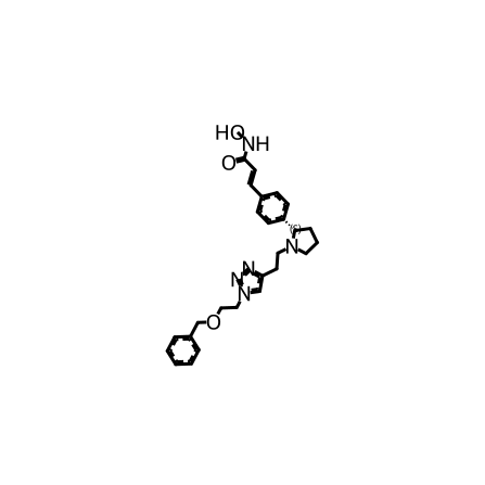 O=C(C=Cc1ccc([C@@H]2CCCN2CCc2cn(CCOCc3ccccc3)nn2)cc1)NO